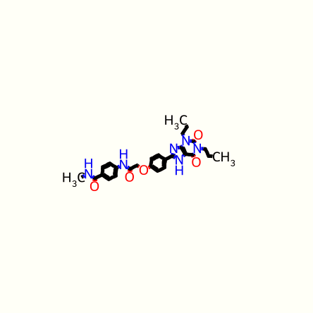 CCCn1c(=O)c2[nH]c(-c3ccc(OCC(=O)Nc4ccc(C(=O)NC)cc4)cc3)nc2n(CCC)c1=O